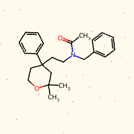 CC(=O)N(CCC1(c2ccccc2)CCOC(C)(C)C1)Cc1ccccc1